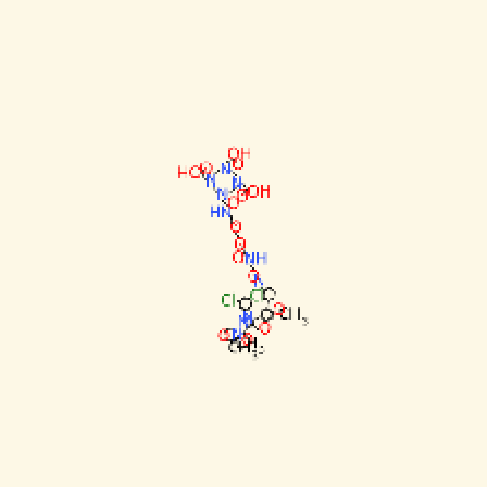 COc1cc2c(cc1-c1cccc(/C=N/OCCNC(=O)COCCOCCNC(=O)CN3CCN(CC(=O)O)CCN(CC(=O)O)CCN(CC(=O)O)CC3)c1)-c1c(c(C(=O)N3CCOCC3(C)C)nn1-c1cc(Cl)cc(Cl)c1)CO2